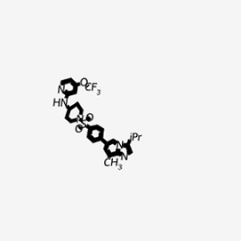 Cc1cc(-c2ccc(S(=O)(=O)N3CCC(Nc4cc(OC(F)(F)F)ccn4)CC3)cc2)cn2c(C(C)C)cnc12